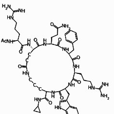 CC(=O)N[C@@H](CCCNC(=N)N)C(=O)N[C@H]1CCC(=O)NCCCC(C(=O)NC2CC2)NC(=O)[C@H](Cc2c[nH]c3ccccc23)NC(=O)[C@H](CCCNC(=N)N)NC(=O)C(Cc2ccccc2)NC(=O)[C@H](CCC(N)=O)NC1=O